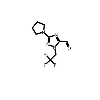 O=Cc1nc(N2CCCC2)nn1CC(F)(F)F